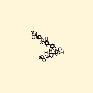 Cc1cc(C(=O)NC2CCN(C(=O)OC(C)(C)C)CC2)ccc1-c1ccc(C[C@H](NC(=O)C2CCC(CNC(=O)OC(C)(C)C)CC2)C(=O)O)cc1